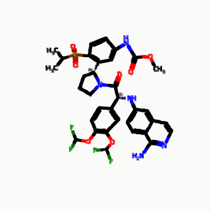 COC(=O)Nc1ccc(S(=O)(=O)C(C)C)c([C@H]2CCCN2C(=O)[C@H](Nc2ccc3c(N)nccc3c2)c2ccc(OC(F)F)c(OC(F)F)c2)c1